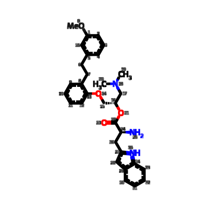 COc1cccc(CCc2ccccc2OC[C@H](CN(C)C)OC(=O)[C@@H](N)Cc2cc3ccccc3[nH]2)c1